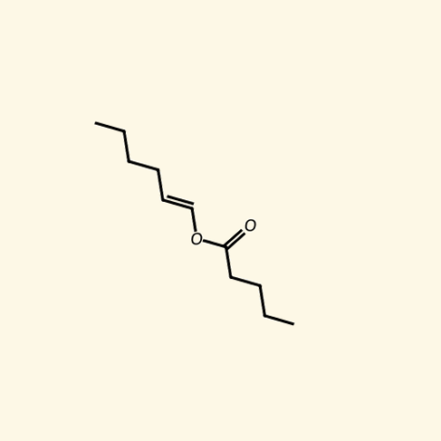 CCCCC=COC(=O)CCCC